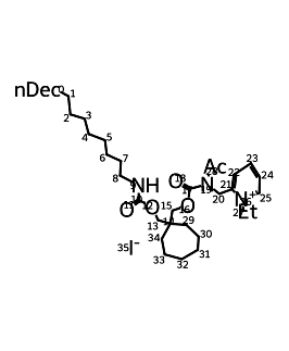 CCCCCCCCCCCCCCCCCCNC(=O)OCC1(COC(=O)N(Cc2cccc[n+]2CC)C(C)=O)CCCCCC1.[I-]